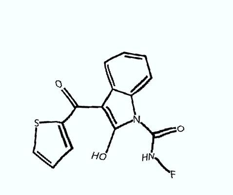 O=C(c1cccs1)c1c(O)n(C(=O)NF)c2ccccc12